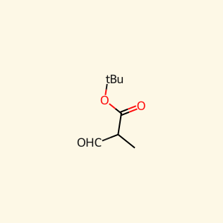 CC(C=O)C(=O)OC(C)(C)C